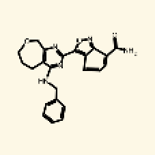 NC(=O)c1cccc2c(-c3nc4c(c(NCc5ccccc5)n3)CCCOC4)onc12